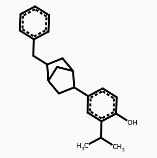 CC(C)c1cc(C2CC3CC2CC3Cc2ccccc2)ccc1O